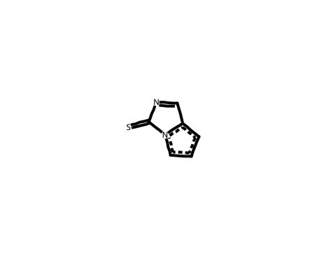 S=C1N=Cc2cccn21